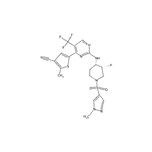 Cc1sc(-c2nc(N[C@H]3CCN(S(=O)(=O)c4cnn(C)c4)C[C@H]3F)ncc2C(F)(F)F)cc1C#N